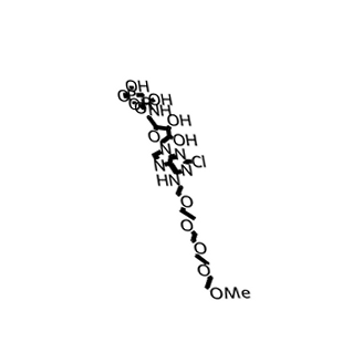 COCCOCCOCCOCCOCCNc1nc(Cl)nc2c1ncn2C1OC(CNP(=O)(O)CP(=O)(O)O)C(O)C1O